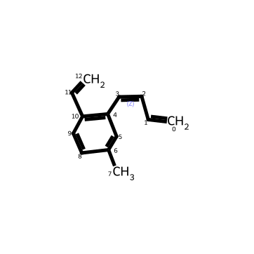 C=C/C=C\c1cc(C)ccc1C=C